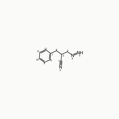 N#CC(CN=N)Cc1ccccc1